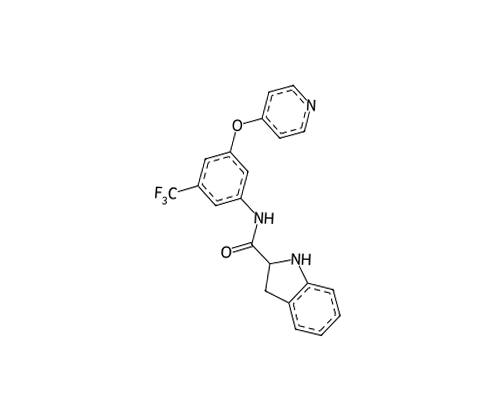 O=C(Nc1cc(Oc2ccncc2)cc(C(F)(F)F)c1)C1Cc2ccccc2N1